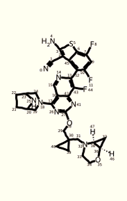 N#Cc1c(N)sc2c(F)cc(F)c(-c3ncc4c(N5CC6CCC(C5)N6)nc(OCC5(CN6CCO[C@@H]7C[C@@H]76)CC5)nc4c3F)c12